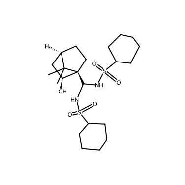 CC1(C)[C@@H]2CC[C@]1(C(NS(=O)(=O)C1CCCCC1)NS(=O)(=O)C1CCCCC1)[C@@H](O)C2